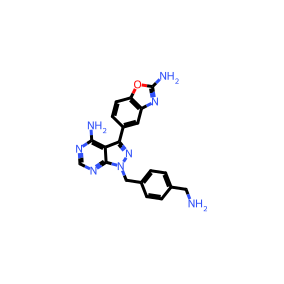 NCc1ccc(Cn2nc(-c3ccc4oc(N)nc4c3)c3c(N)ncnc32)cc1